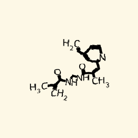 C=Cc1ccnc(C=C(C)C(=O)NCNC(=O)C(=C)C)c1